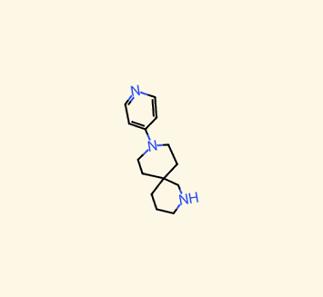 c1cc(N2CCC3(CCCNC3)CC2)ccn1